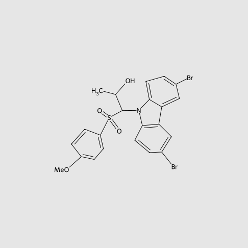 COc1ccc(S(=O)(=O)C(C(C)O)n2c3ccc(Br)cc3c3cc(Br)ccc32)cc1